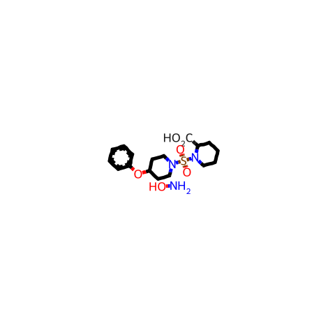 NO.O=C(O)C1CCCCN1S(=O)(=O)N1CCC(Oc2ccccc2)CC1